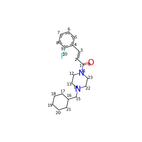 O=C(C=Cc1ccccc1F)N1CCN(CC2CCCCC2)CC1